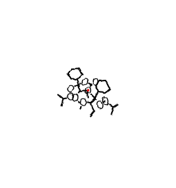 CCC(OC)C(OOC(C)C)(OC(=O)OC(OOC(C)C)(C1CCCCC1)C(CC)OC)C1CCCCC1